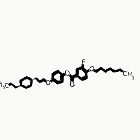 CCCCCCCOc1ccc(C(=O)Oc2ccc(OCCC[C@H]3CC[C@H](CCC)CC3)cc2)cc1F